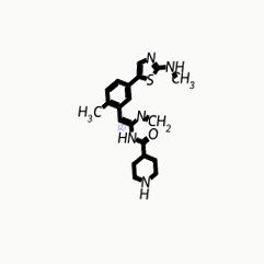 C=N/C(=C\c1cc(-c2cnc(NC)s2)ccc1C)NC(=O)C1CCNCC1